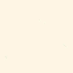 CC1(C)OC(c2ccc(S(N)(=O)=O)cc2)=C(c2cccc([N+](=O)[O-])c2)C1=O